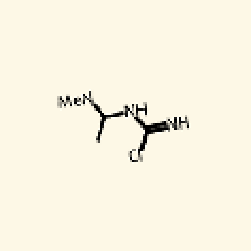 CNC(C)NC(=N)Cl